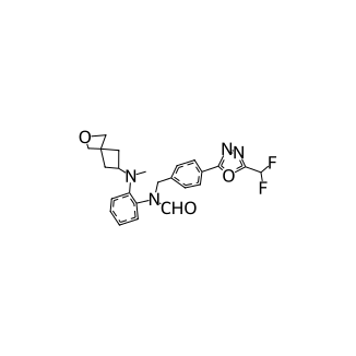 CN(c1ccccc1N(C=O)Cc1ccc(-c2nnc(C(F)F)o2)cc1)C1CC2(COC2)C1